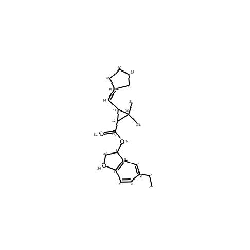 CCc1ccc2c(c1)C(OC(=O)C1C(C=C3CCCC3)C1(C)C)CO2